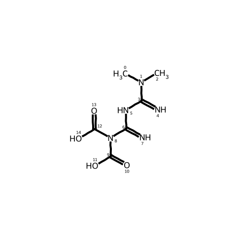 CN(C)C(=N)NC(=N)N(C(=O)O)C(=O)O